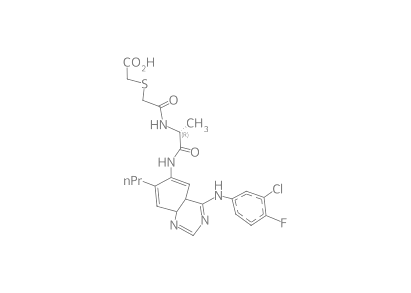 CCCC1=CC2N=CN=C(Nc3ccc(F)c(Cl)c3)C2C=C1NC(=O)[C@@H](C)NC(=O)CSCC(=O)O